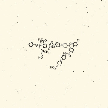 CN(CCO)CCC(CSc1ccccc1)Nc1ccc(S(=O)(=O)NC(=O)c2ccc(N3CCC(C(O)c4cc(C(=O)Nc5ccc(N6CCC(C(=O)O)CC6)cc5)ccc4-c4ccc(Cl)cc4)CC3)cc2)cc1S(=O)(=O)C(F)(F)F